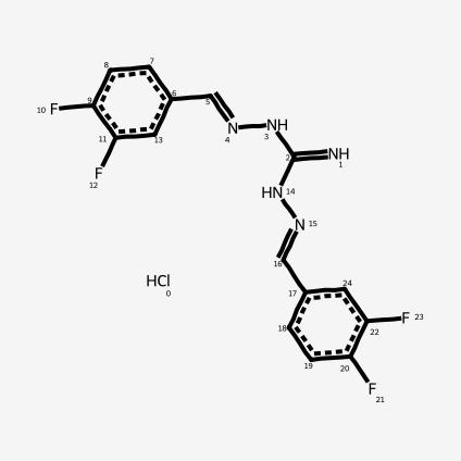 Cl.N=C(NN=Cc1ccc(F)c(F)c1)NN=Cc1ccc(F)c(F)c1